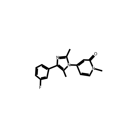 Cc1nc(-c2cccc(F)c2)c(C)n1-c1ccn(C)c(=O)c1